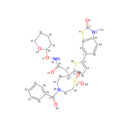 Cn1c(=O)sc2cc(-c3ccc(C4(CC(=O)NOC5CCCCO5)CCN(C(=O)c5ccccc5)CCS4(=O)=O)s3)ccc21